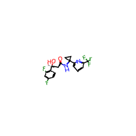 C[C@](O)(CC(=O)NC1(c2cccc(C(F)(F)F)n2)CC1)c1ccc(F)cc1F